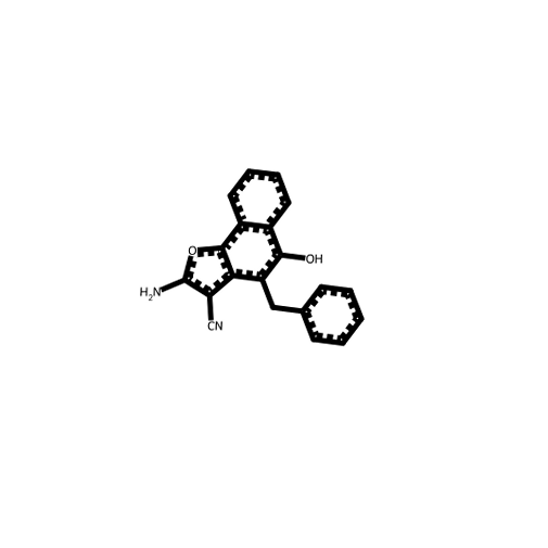 N#Cc1c(N)oc2c1c(Cc1ccccc1)c(O)c1ccccc12